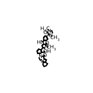 CN1CCN(C)[C@H](c2ccc(Nc3cc(-c4cccc(N5CCn6c(cc7c6CCCC7)C5=O)c4CO)cn(C)c3=O)cc2)C1=O